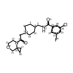 O=C(NCC1CCN(CC(=O)N2CCOCC23CC3)CC1)c1cc(F)cc(Cl)c1